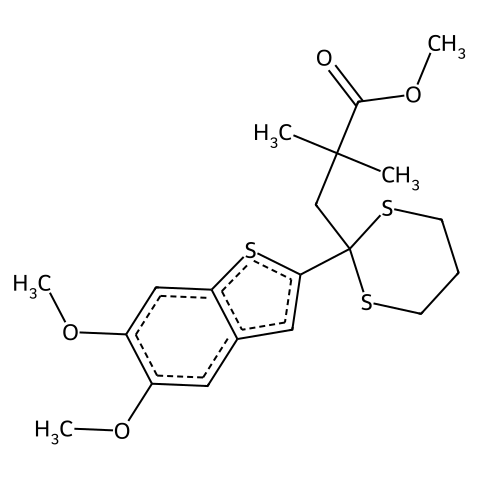 COC(=O)C(C)(C)CC1(c2cc3cc(OC)c(OC)cc3s2)SCCCS1